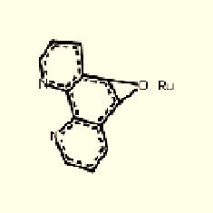 [Ru].c1cnc2c(c1)c1c(c3cccnc32)O1